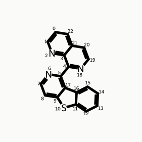 c1cnc2c(-c3nccc4sc5ccccc5c34)nccc2c1